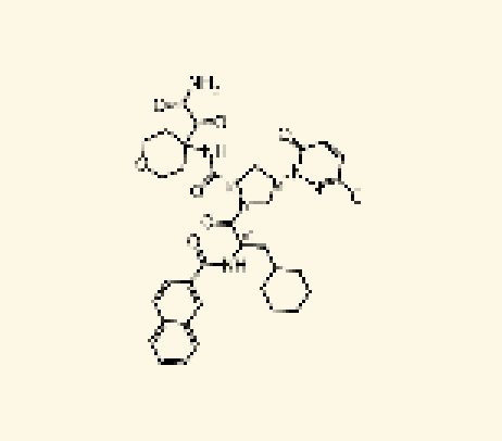 NC(=O)C(=O)C1(NC(=O)[C@@H]2C[C@H](n3nc(Cl)ccc3=O)CN2C(=O)[C@@H](CC2CCCCC2)NC(=O)c2ccc3ccccc3c2)CCOCC1